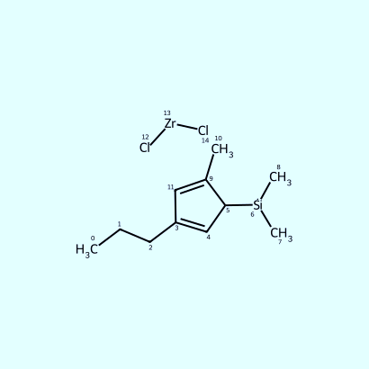 CCCC1=CC([Si](C)C)C(C)=C1.[Cl][Zr][Cl]